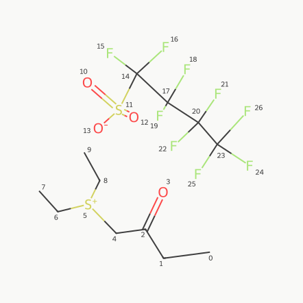 CCC(=O)C[S+](CC)CC.O=S(=O)([O-])C(F)(F)C(F)(F)C(F)(F)C(F)(F)F